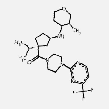 CC(C)[C@]1(C(=O)N2CCN(c3nccc(C(F)(F)F)n3)CC2)CC[C@@H](NC2CCOC[C@H]2C)C1